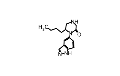 CCCCC1CNCC(=O)N1c1ccc2[nH]ncc2c1